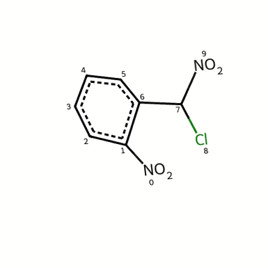 O=[N+]([O-])c1ccccc1C(Cl)[N+](=O)[O-]